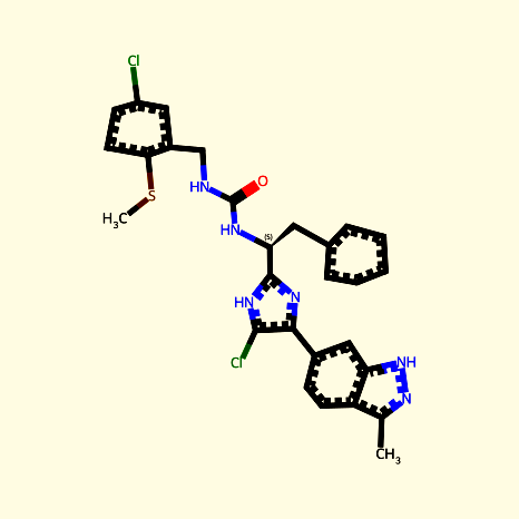 CSc1ccc(Cl)cc1CNC(=O)N[C@@H](Cc1ccccc1)c1nc(-c2ccc3c(C)n[nH]c3c2)c(Cl)[nH]1